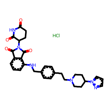 Cl.O=C1CCC(N2C(=O)c3cccc(NCc4ccc(CCN5CCC(n6cccn6)CC5)cc4)c3C2=O)C(=O)N1